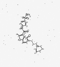 Cc1oc2ncn(CCCN3CCCCC3)c(=O)c2c1C(=O)Nc1ccc(S(N)(=O)=O)nc1